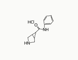 Cl.O=C(Nc1ccccc1)C1C2CNCC21